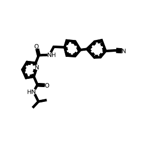 CC(C)NC(=O)c1cccc(C(=O)NCc2ccc(-c3ccc(C#N)cc3)cc2)n1